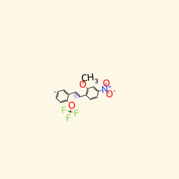 COc1cc([N+](=O)[O-])ccc1/C=C/c1c[c]ccc1OC(F)(F)F